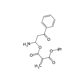 C=C(C(=O)OC(C)C)C(=O)OC(N)CC(=O)c1ccccc1